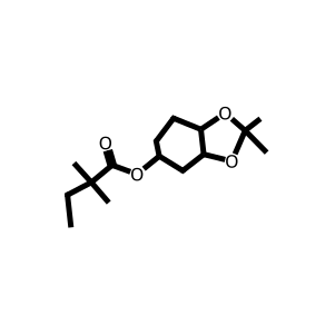 CCC(C)(C)C(=O)OC1CCC2OC(C)(C)OC2C1